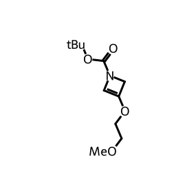 COCCOC1=CN(C(=O)OC(C)(C)C)C1